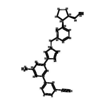 N#Cc1cccc(-c2cc(-c3cn(Cc4cccc([C@H]5CCC[C@H]5CO)n4)nn3)nc(N)n2)c1